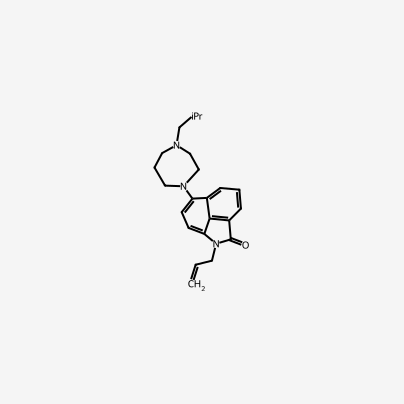 C=CCN1C(=O)c2cccc3c(N4CCCN(CC(C)C)CC4)ccc1c23